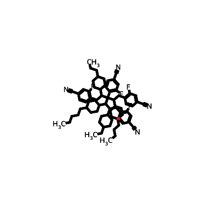 CCCCCC1CCC(C(C(Cc2ccc(C#N)cc2F)C2CCC(CC)CC2)C(c2ccc(C#N)cc2F)(C(Cc2ccc(C#N)cc2F)C2CCC(CCC)CC2)C(Cc2ccc(C#N)cc2F)C2CCC(CCCC)CC2)CC1